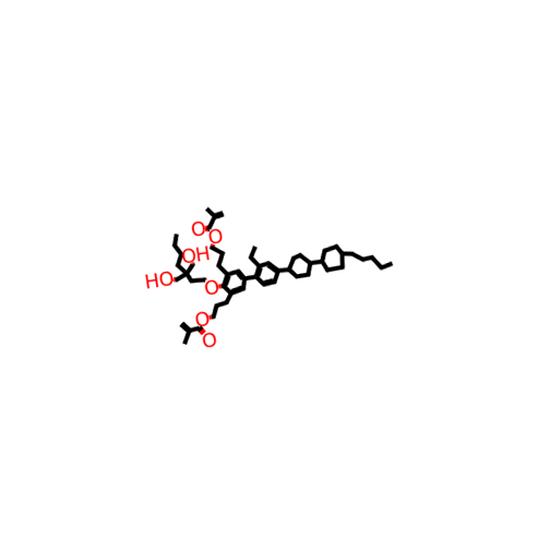 C=C(C)C(=O)OCCCc1cc(-c2ccc(C3CCC(C4CCC(CCCCC)CC4)CC3)cc2CC)cc(CCCOC(=O)C(=C)C)c1OCCC(CO)(CO)CCCC